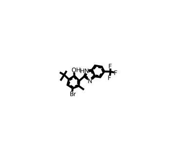 Cc1c(Br)cc(C(C)(C)C)c(O)c1-c1nc2cc(C(F)(F)F)ccc2[nH]1